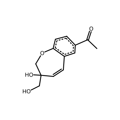 CC(=O)c1ccc2c(c1)C=CC(O)(CO)CO2